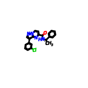 C[C@@H](NC(=O)c1ccn2ncc(-c3cccc(Cl)c3)c2n1)c1ccccc1